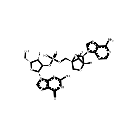 Nc1nc2c(ncn2[C@@H]2O[C@H](CO)[C@H](F)[C@H]2OP(O)(=S)OC[C@@]23CO[C@@H]([C@H](n4cnc5c(N)ncnc54)O2)[C@@H]3O)c(=O)[nH]1